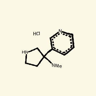 CNC1(c2cccnc2)CCNC1.Cl